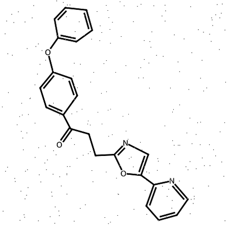 O=C(CCc1ncc(-c2ccccn2)o1)c1ccc(Oc2ccccc2)cc1